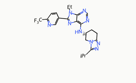 CCn1c(-c2ccc(C(F)(F)F)nc2)nc2c(N[C@@H]3CCc4nnc(C(C)C)n4C3)ncnc21